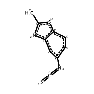 Cc1nc2cc(N=C=S)ccc2s1